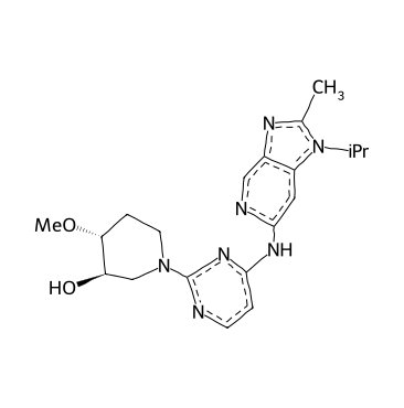 CO[C@@H]1CCN(c2nccc(Nc3cc4c(cn3)nc(C)n4C(C)C)n2)C[C@H]1O